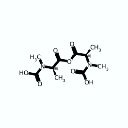 C[C@H](C(=O)OC(=O)[C@@H](C)N(C)C(=O)O)N(C)C(=O)O